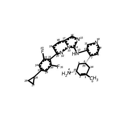 CC1=C[C@H](N)C[C@H](c2ccncc2Nc2ncc3ccc(-c4c(F)cc(C5CC5)cc4F)nn23)C1